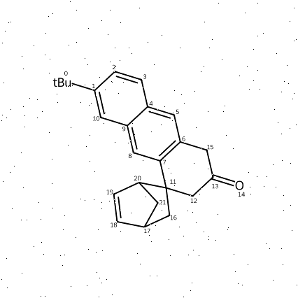 CC(C)(C)c1ccc2cc3c(cc2c1)C1(CC(=O)C3)CC2C=CC1C2